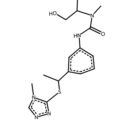 CC(Sc1nncn1C)c1cccc(NC(=O)N(C)C(C)CO)c1